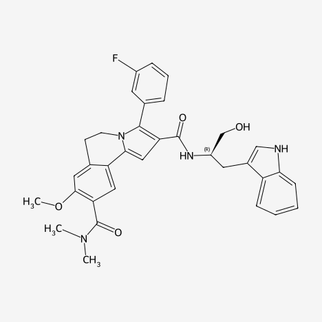 COc1cc2c(cc1C(=O)N(C)C)-c1cc(C(=O)N[C@@H](CO)Cc3c[nH]c4ccccc34)c(-c3cccc(F)c3)n1CC2